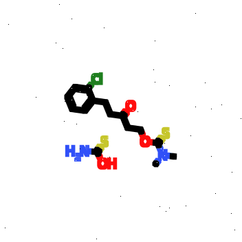 CN(C)C(=S)OCCC(=O)CCc1ccccc1Cl.NC(O)=S